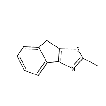 Cc1nc2c(s1)Cc1ccccc1-2